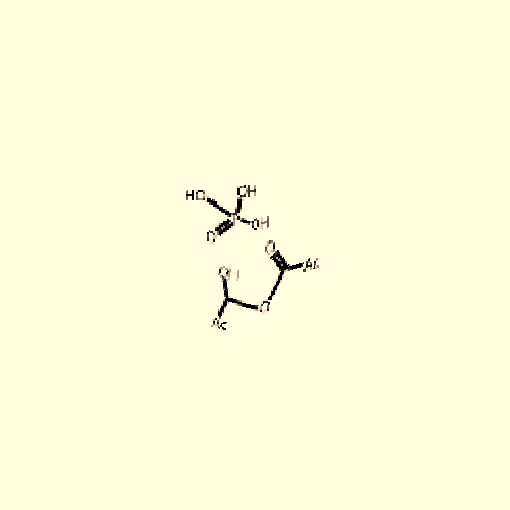 CC(=O)C(=O)OC(O)C(C)=O.O=P(O)(O)O